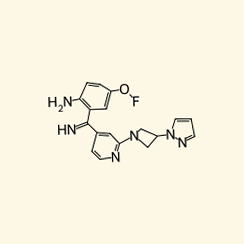 N=C(c1ccnc(N2CC(n3cccn3)C2)c1)c1cc(OF)ccc1N